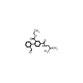 CCOC(=O)c1cc(C(=O)NCC(C)C)ccc1-c1ccccc1C=O